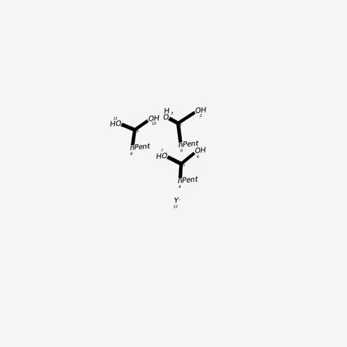 CCCCCC(O)O.CCCCCC(O)O.CCCCCC(O)O.[Y]